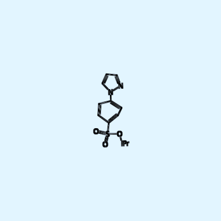 CC(C)OS(=O)(=O)c1ccc(-n2cccn2)cc1